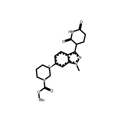 Cn1nc(C2CCC(=O)NC2=O)c2ccc([C@@H]3CCCN(C(=O)OC(C)(C)C)C3)cc21